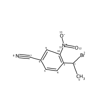 CC(Br)c1ccc(C#N)cc1[N+](=O)[O-]